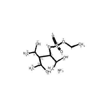 CCOS(=O)(=O)OC(C(C)O)C(C(C)O)C(C)O.N